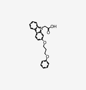 O=C(O)Cn1c2ccccc2c2ccc(OCCCOc3ccccc3)cc21